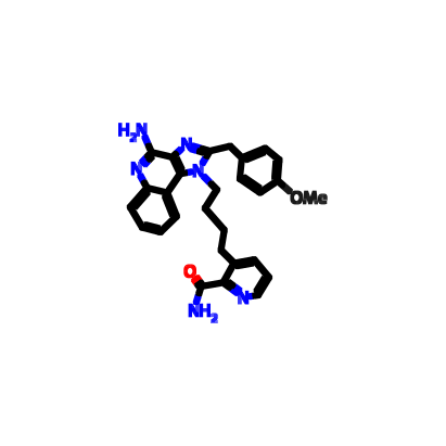 COc1ccc(Cc2nc3c(N)nc4ccccc4c3n2CCCCc2cccnc2C(N)=O)cc1